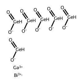 [Bi+3].[Ga+3].[O]=[GeH][O-].[O]=[GeH][O-].[O]=[GeH][O-].[O]=[GeH][O-].[O]=[GeH][O-].[O]=[GeH][O-]